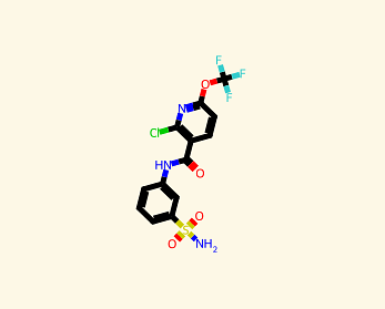 NS(=O)(=O)c1cccc(NC(=O)c2ccc(OC(F)(F)F)nc2Cl)c1